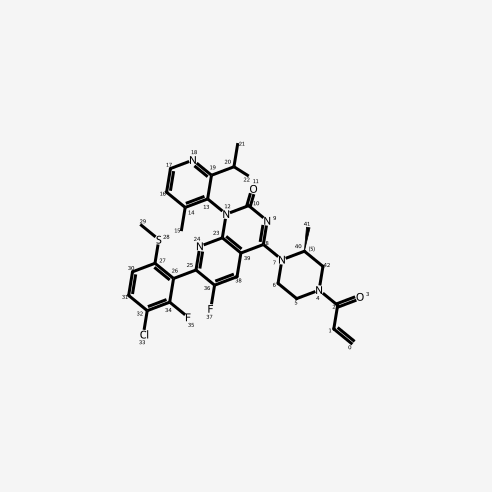 C=CC(=O)N1CCN(c2nc(=O)n(-c3c(C)ccnc3C(C)C)c3nc(-c4c(SC)ccc(Cl)c4F)c(F)cc23)[C@@H](C)C1